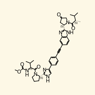 COC(=O)N[C@H](C(=O)N1CCC[C@H]1c1nc(-c2ccc(C#Cc3ccc4[nH]c([C@@H]5CC(=O)CN5C(=O)[C@@H](C)C(C)C)nc4c3)cc2)c[nH]1)C(C)C